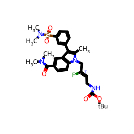 Cc1c(-c2cccc(S(=O)(=O)N(C)C)c2)c2cc(C(=O)N(C)C)ccc2n1C/C(F)=C/CNC(=O)OC(C)(C)C